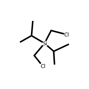 CC(C)[Si](CCl)(CCl)C(C)C